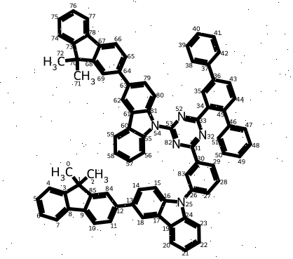 CC1(C)c2ccccc2-c2ccc(-c3ccc4c(c3)c3ccccc3n4-c3cccc(-c4nc(-c5cc(-c6ccccc6)ccc5-c5ccccc5)nc(-n5c6ccccc6c6cc(-c7ccc8c(c7)C(C)(C)c7ccccc7-8)ccc65)n4)c3)cc21